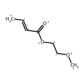 [CH2]/C=C/C(=O)OCCOC